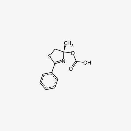 C[C@]1(OC(=O)O)CSC(c2ccccc2)=N1